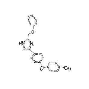 Oc1ccc(Oc2ccc(-c3c[nH]c(COc4ccccc4)n3)cc2)cc1